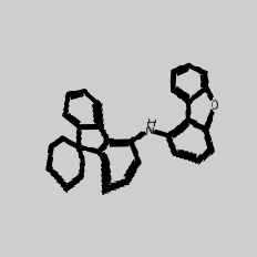 C1=CC(Nc2cccc3c2-c2ccccc2C32CCCCC2)=C2c3ccccc3OC2C1